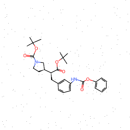 CC(C)(C)OC(=O)[C@@H](Cc1cccc(NC(=O)Oc2ccccc2)c1)[C@H]1CCN(C(=O)OC(C)(C)C)C1